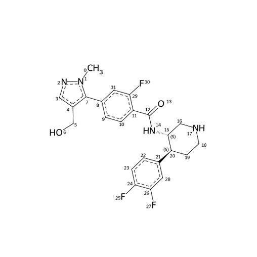 Cn1ncc(CO)c1-c1ccc(C(=O)N[C@@H]2CNCC[C@H]2c2ccc(F)c(F)c2)c(F)c1